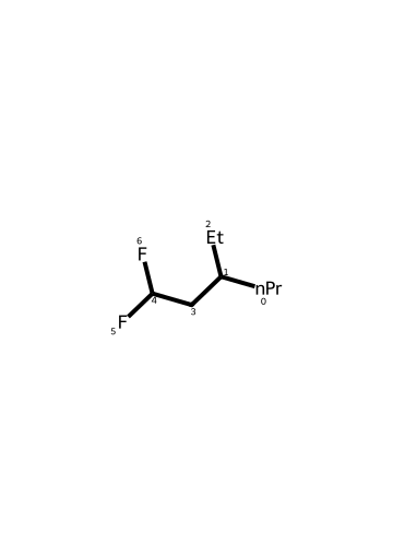 CCCC(CC)CC(F)F